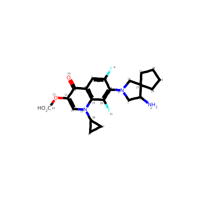 NC1CN(c2c(F)cc3c(=O)c(OC(=O)O)cn(C4CC4)c3c2F)CC12CCCC2